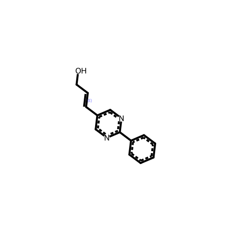 OC/C=C/c1cnc(-c2ccccc2)nc1